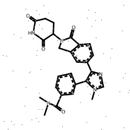 CN(C)C(=O)c1cccc(-c2c(-c3ccc4c(c3)CN(C3CCC(=O)NC3=O)C4=O)ncn2C)c1